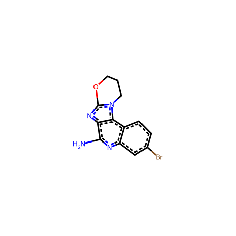 Nc1nc2cc(Br)ccc2c2c1nc1n2CCCO1